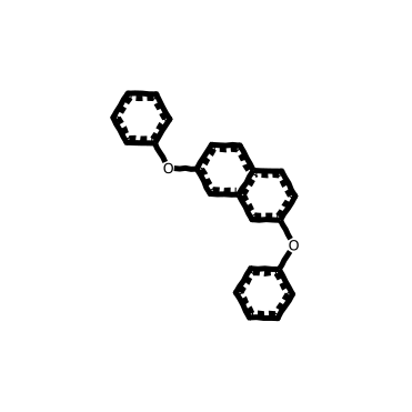 c1ccc(Oc2ccc3ccc(Oc4ccccc4)cc3c2)cc1